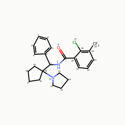 O=C(NC(c1ccccc1)C1(N2CCCC2)CCCC1)c1cccc(C(F)(F)F)c1Cl